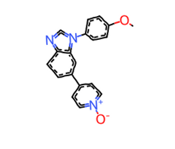 COc1ccc(-n2cnc3ccc(-c4cc[n+]([O-])cc4)cc32)cc1